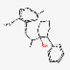 Cc1ccc(S(=O)(=O)O)c(CC(C)C2(O)CCCCC2c2ccccc2)c1